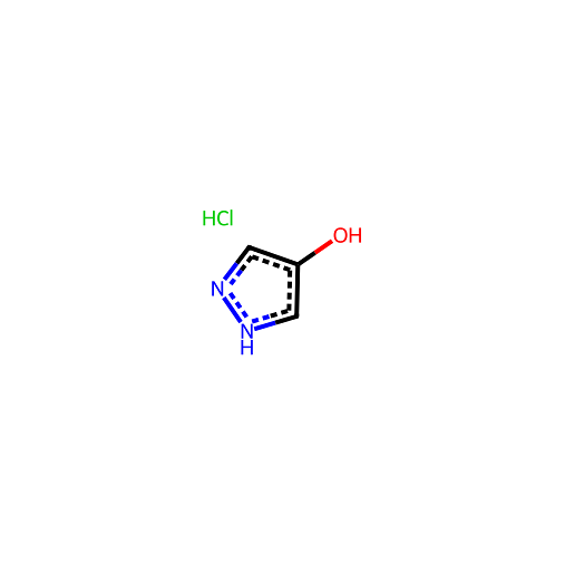 Cl.Oc1cn[nH]c1